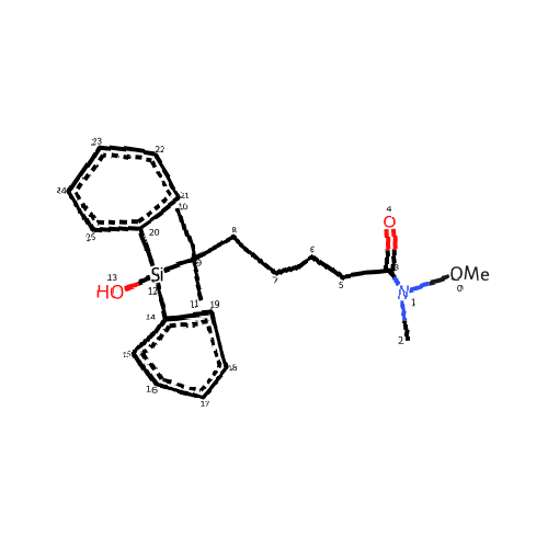 CON(C)C(=O)CCCCC(C)(C)[Si](O)(c1ccccc1)c1ccccc1